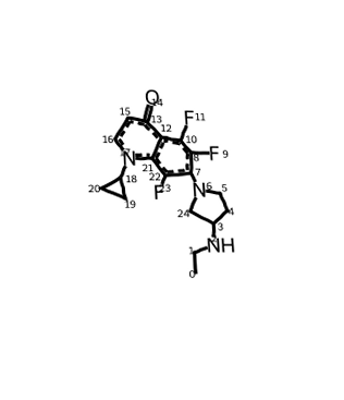 CCNC1CCN(c2c(F)c(F)c3c(=O)ccn(C4CC4)c3c2F)C1